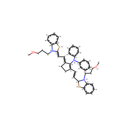 COCCCN1/C(=C/C=C2\CCC(/C=C/C3Sc4ccccc4N3CCCOC)=C2N(c2ccccc2)c2ccccc2)Sc2ccccc21